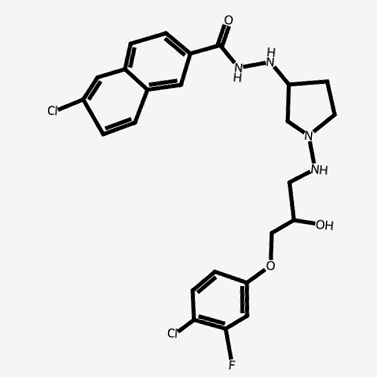 O=C(NNC1CCN(NCC(O)COc2ccc(Cl)c(F)c2)C1)c1ccc2cc(Cl)ccc2c1